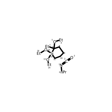 CCCN=C=O.CCOC1(CC)CCCC[Si]1(OCC)OCC